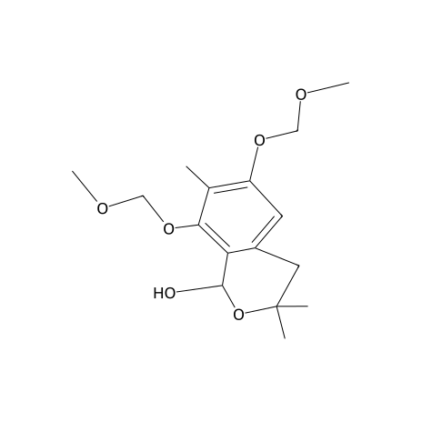 COCOc1cc2c(c(OCOC)c1C)C(O)OC(C)(C)C2